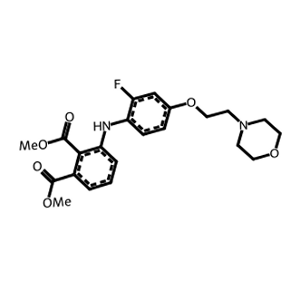 COC(=O)c1cccc(Nc2ccc(OCCN3CCOCC3)cc2F)c1C(=O)OC